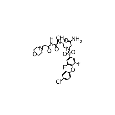 CN(CCN(CC(N)=O)S(=O)(=O)c1cc(F)c(Oc2ccc(Cl)cc2)c(F)c1)C(=O)NC(=O)CN1CCOCC1